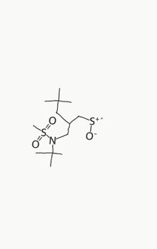 C[S@+]([O-])CC(CN(C(C)(C)C)S(C)(=O)=O)CC(C)(C)C